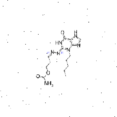 CCCCCn1/c(=N/N=C\CCOC(N)=O)[nH]c(=O)c2[nH]cnc21